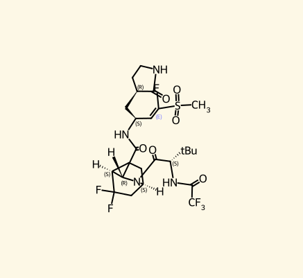 CC(C)(C)[C@H](NC(=O)C(F)(F)F)C(=O)N1[C@H]2CC[C@@H]([C@@H]1C(=O)N[C@H](/C=C(\F)S(C)(=O)=O)C[C@H]1CCNC1=O)C(F)(F)C2